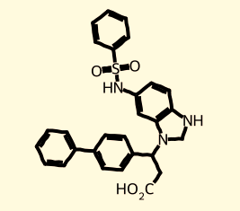 O=C(O)CC(c1ccc(-c2ccccc2)cc1)N1CNc2ccc(NS(=O)(=O)c3ccccc3)cc21